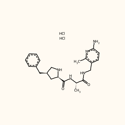 Cc1nc(N)ccc1CNC(=O)[C@H](C)NC(=O)[C@H]1C[C@@H](Cc2ccccc2)CN1.Cl.Cl